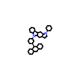 c1ccc(-n2ccc3cc4c(cc32)c2ccccc2n4-c2cccc(-c3c4ccccc4cc4ccccc34)c2)cc1